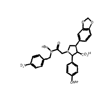 CCCCN(Cc1ccc([N+](=O)[O-])cc1)C(=O)CN1CC(c2ccc3c(c2)OCO3)C(C(=O)O)C1c1ccc(OC)cc1